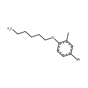 Cc1cc(C(C)C)ccc1OCCCCCC(F)(F)F